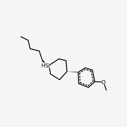 CCCCC[Si@H]1CC[C@H](c2ccc(OC)cc2)CC1